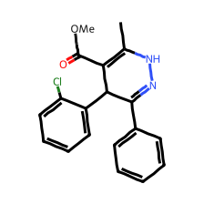 COC(=O)C1=C(C)NN=C(c2ccccc2)C1c1ccccc1Cl